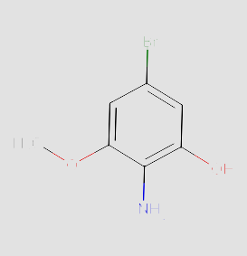 COc1cc(Br)cc(O)c1N